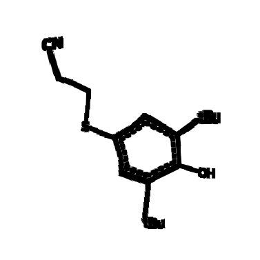 CC(C)(C)c1cc(SCCC#N)cc(C(C)(C)C)c1O